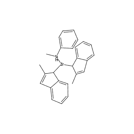 CC1=Cc2ccccc2[CH]1[Zr]([CH]1C(C)=Cc2ccccc21)[SiH](C)c1ccccc1